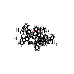 CC1(C)c2ccccc2-c2ccc(N(c3ccc4c(c3)C(C)(C)c3ccccc3-4)c3cc4c(c5ccccc35)-c3ccccc3C4(C(C)(C)C)C3(C(C)(C)C)c4ccccc4-c4c3cc(N(c3ccc5c(c3)C(C)(C)c3ccccc3-5)c3ccc5c(c3)C(C)(C)c3ccccc3-5)c3ccccc43)cc21